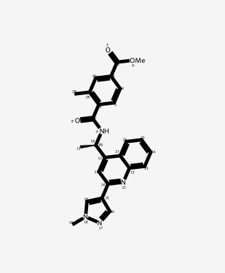 COC(=O)c1ccc(C(=O)N[C@H](C)c2cc(-c3cnn(C)c3)nc3ccccc23)c(C)c1